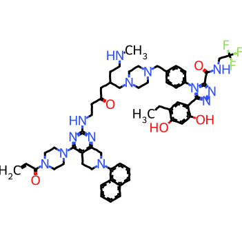 C=CC(=O)N1CCN(c2nc(NCCC(=O)CC(CCNC)CN3CCN(Cc4ccc(-n5c(C(=O)NCC(F)(F)F)nnc5-c5cc(CC)c(O)cc5O)cc4)CC3)nc3c2CCN(c2cccc4ccccc24)C3)CC1